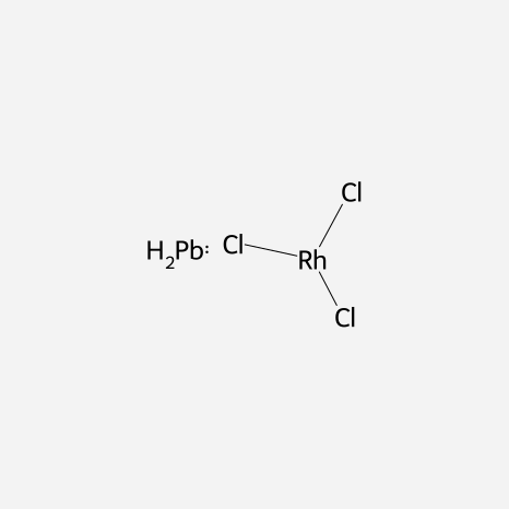 [Cl][Rh]([Cl])[Cl].[PbH2]